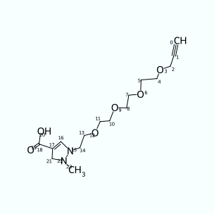 C#CCOCCOCCOCCOCCN1C=C(C(=O)O)CN1C